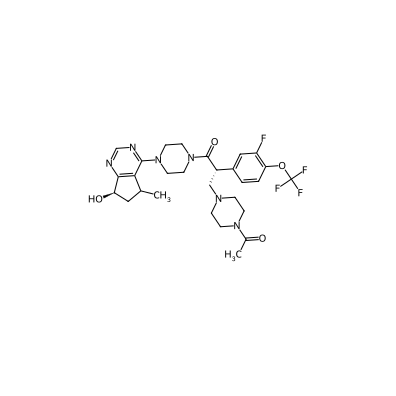 CC(=O)N1CCN(C[C@H](C(=O)N2CCN(c3ncnc4c3C(C)C[C@H]4O)CC2)c2ccc(OC(F)(F)F)c(F)c2)CC1